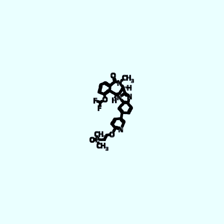 CN1C(=O)c2cccc(OC(F)F)c2[C@H]2C[C@@H]1c1nc3ccc(-c4ccc(OCCP(C)(C)=O)nc4)cc3n12